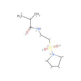 CC(C)C(=O)NCCS(=O)(=O)N1CCCC1